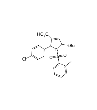 Cc1ccccc1S(=O)(=O)N1C(c2ccc(Cl)cc2)C(C(=O)O)=CC1C(C)(C)C